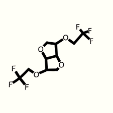 FC(F)(F)COC1COC2C(OCC(F)(F)F)COC12